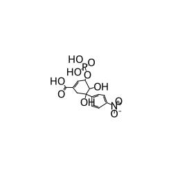 O=C(O)C1=CC(OP(=O)(O)O)C(O)C(O)(c2ccc([N+](=O)[O-])cc2)C1